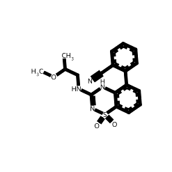 COC(C)CNC1=NS(=O)(=O)c2cccc(-c3ccccc3C#N)c2N1